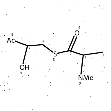 CNC(C)C(=O)SCC(O)C(C)=O